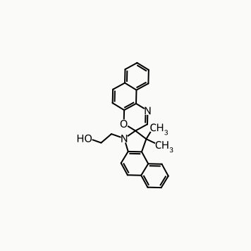 CC1(C)c2c(ccc3ccccc23)N(CCO)C12C=Nc1c(ccc3ccccc13)O2